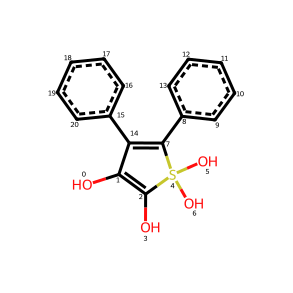 OC1=C(O)S(O)(O)C(c2ccccc2)=C1c1ccccc1